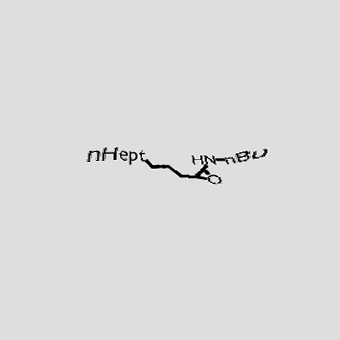 CCCCCCCCCCC1OC1NCCCC